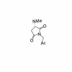 CN[C@H]1CC(=O)N(CC(C)=O)C1=O